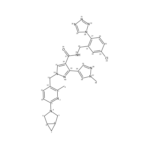 Cc1nc(N2CC3CC3C2)ccc1Cn1cc(C(=O)NCc2cc(Cl)ccc2-n2cnnn2)c(-c2cnn(C)c2)n1